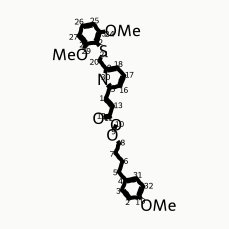 COc1ccc(CCCCOOC(=O)C=Cc2cccc(CSc3c(OC)cccc3OC)n2)cc1